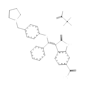 NC(=O)c1ccc2c(c1)NC(=O)/C2=C(\Nc1ccc(CN2CCCC2)cc1)c1ccccc1.O=C(O)C(F)(F)F